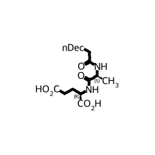 CCCCCCCCCCCC(=O)N[C@@H](C)C(=O)N[C@H](CCC(=O)O)C(=O)O